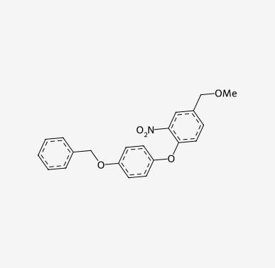 COCc1ccc(Oc2ccc(OCc3ccccc3)cc2)c([N+](=O)[O-])c1